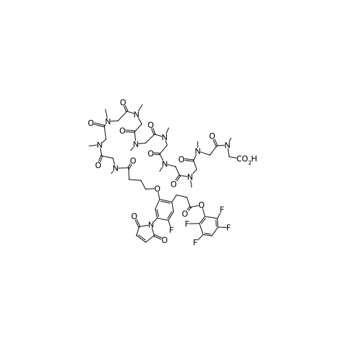 CN(CC(=O)O)C(=O)CN(C)C(=O)CN(C)C(=O)CN(C)C(=O)CN(C)C(=O)CN(C)C(=O)CN(C)C(=O)CN(C)C(=O)CN(C)C(=O)CN(C)C(=O)CCCOc1cc(N2C(=O)C=CC2=O)c(F)cc1CCC(=O)Oc1c(F)c(F)cc(F)c1F